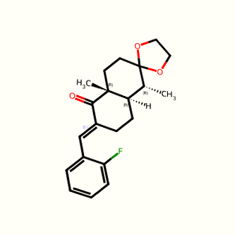 C[C@@H]1[C@H]2CC/C(=C\c3ccccc3F)C(=O)[C@]2(C)CCC12OCCO2